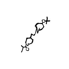 CC(C)C(=O)N1CCC(CCN2CCC(OC(C)(C)C)CC2)CC1